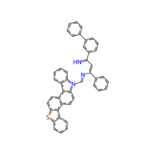 N=C(/C=C(\N=C\n1c2ccccc2c2c3ccc4sc5ccccc5c4c3ccc21)c1ccccc1)c1cccc(-c2ccccc2)c1